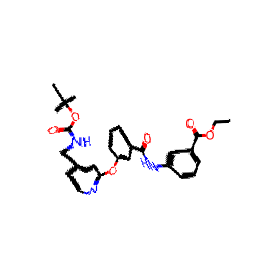 CCOC(=O)c1cccc(NC(=O)c2cccc(Oc3cc(CNC(=O)OC(C)(C)C)ccn3)c2)c1